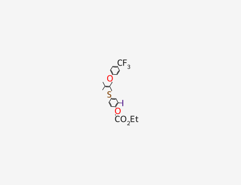 CCOC(=O)COc1ccc(SCC(COc2ccc(C(F)(F)F)cc2)=C(C)C)cc1I